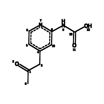 CC(=O)Cc1ccnc(NC(=O)O)c1